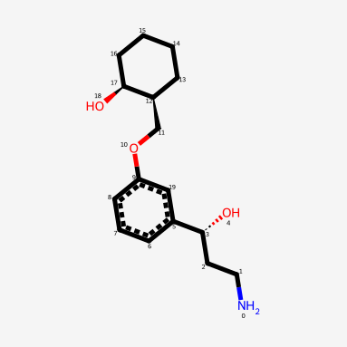 NCC[C@@H](O)c1cccc(OC[C@@H]2CCCC[C@@H]2O)c1